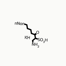 CCCCCCCCCCCCCC(=O)C(CN)S(=O)(=O)O.[KH]